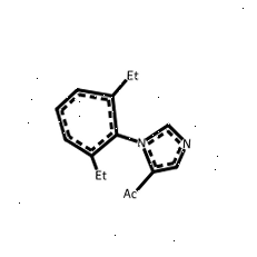 CCc1cccc(CC)c1-n1cncc1C(C)=O